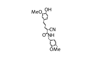 COc1cc(CNC(=O)/C(C#N)=C/C=C/c2ccc(O)c(OC)c2)ccc1C